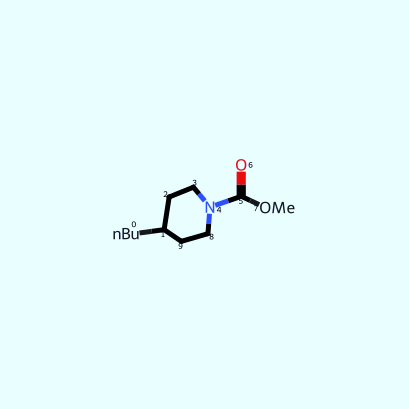 CCCCC1CCN(C(=O)OC)CC1